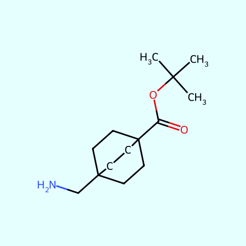 CC(C)(C)OC(=O)C12CCC(CN)(CC1)CC2